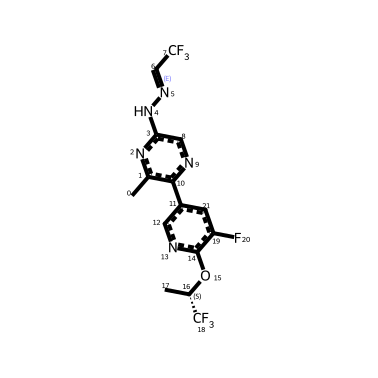 Cc1nc(N/N=C/C(F)(F)F)cnc1-c1cnc(O[C@@H](C)C(F)(F)F)c(F)c1